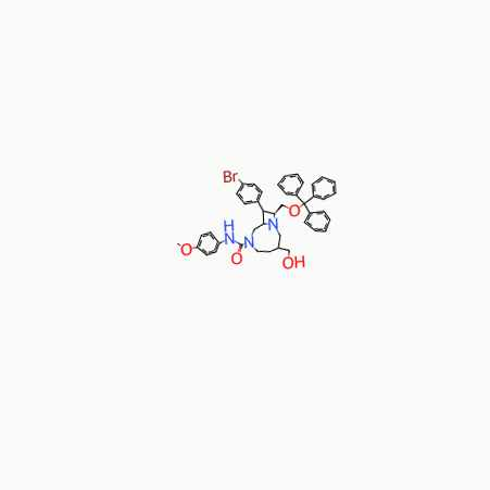 COc1ccc(NC(=O)N2CCC(CO)CN3C(C2)C(c2ccc(Br)cc2)[C@H]3COC(c2ccccc2)(c2ccccc2)c2ccccc2)cc1